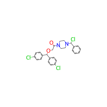 O=C(COC(c1ccc(Cl)cc1)c1ccc(Cl)cc1)N1CCN(C(Cl)c2ccccc2)CC1